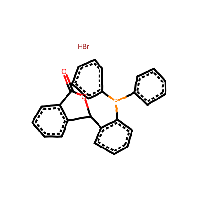 Br.O=C1OC(c2ccccc2P(c2ccccc2)c2ccccc2)c2ccccc21